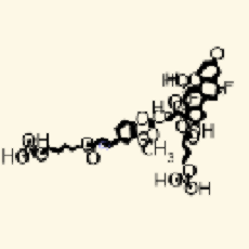 COc1cc(/C=C/C(=O)OCCCCON(O)O)ccc1OC(=O)OCC(=O)[C@@]1(OC(=O)CCCON(O)O)[C@H](O)CC2C3C[C@H](F)C4=CC(=O)C=CC4(C)[C@@]3(F)[C@@H](O)C[C@@]21C